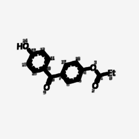 CCC(=O)Oc1ccc(C(=O)c2ccc(O)cc2)cc1